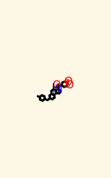 Cc1ccc(Cc2ccc3c(c2)CC[C@@H]2C3CCN2C(=O)C2CCS(=O)(=O)CC2)cc1